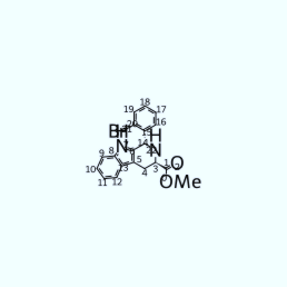 COC(=O)[C@H]1Cc2c([nH]c3ccccc23)[C@H](c2ccccc2Br)N1